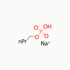 CCCCOP(=O)([O-])O.[Na+]